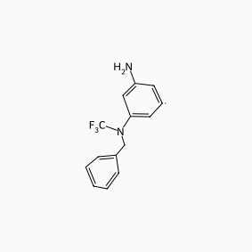 Nc1c[c]cc(N(Cc2ccccc2)C(F)(F)F)c1